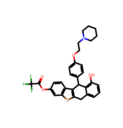 O=C(Oc1ccc2c3c(sc2c1)Cc1cccc(O)c1C3c1ccc(OCCN2CCCCC2)cc1)C(F)(F)F